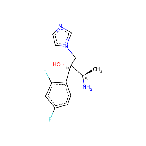 C[C@@H](N)[C@](O)(Cn1ccnc1)c1ccc(F)cc1F